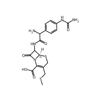 CSCC1=C(C(=O)O)N2C(=O)C(NC(=O)C(N)c3ccc(NC(N)=O)cc3)[C@H]2SC1